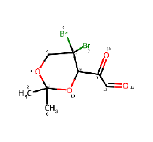 CC1(C)OCC(Br)(Br)C(C(=O)C=O)O1